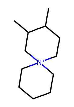 CC1CC[N+]2(CCCCC2)CC1C